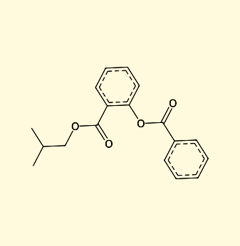 CC(C)COC(=O)c1ccccc1OC(=O)c1ccccc1